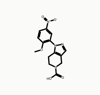 COc1ccc([N+](=O)[O-])cc1-n1ncc2c1CCN(C(=O)O)C2